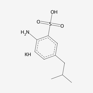 CC(C)Cc1ccc(N)c(S(=O)(=O)O)c1.[KH]